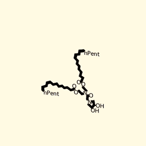 CCCCC/C=C\C/C=C\CCCCCCCC(=O)OCCN(CCOC(=O)CCCCCCC/C=C\C/C=C\CCCCC)C(=O)CN1C[C@@H](O)[C@H](O)C1